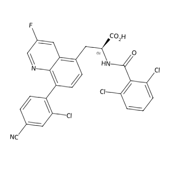 N#Cc1ccc(-c2ccc(C[C@H](NC(=O)c3c(Cl)cccc3Cl)C(=O)O)c3cc(F)cnc23)c(Cl)c1